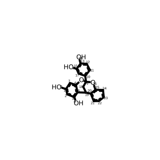 Oc1cc(O)c2c(c1)OC1(c3ccc(O)c(O)c3)CC2c2ccccc2O1